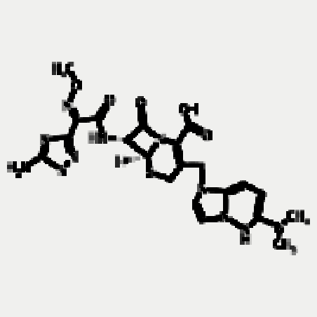 CO/N=C(\C(=O)N[C@@H]1C(=O)N2C(C(=O)O)=C(CN3C=CN4NC(N(C)C)=CC=C34)CS[C@@H]12)c1nsc(N)n1